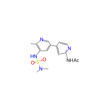 CC(=O)Nc1cc(-c2cnc(C)c(NS(=O)(=O)N(C)C)c2)ccn1